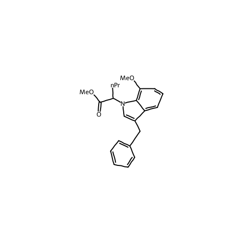 CCCC(C(=O)OC)n1cc(Cc2ccccc2)c2cccc(OC)c21